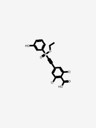 CCOP(=O)(C#Cc1cc(Cl)c(C(=O)O)c(Cl)c1)c1cccc(O)c1